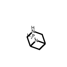 PN1C2CNCC1C2